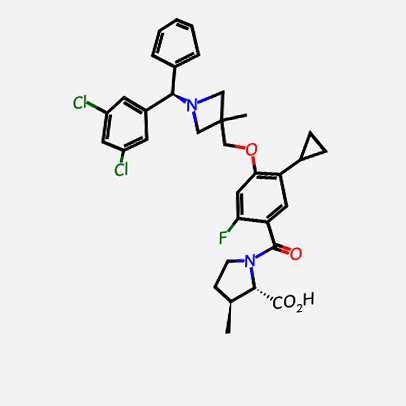 C[C@H]1CCN(C(=O)c2cc(C3CC3)c(OCC3(C)CN([C@H](c4ccccc4)c4cc(Cl)cc(Cl)c4)C3)cc2F)[C@@H]1C(=O)O